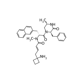 C[C@@H]1CN(C(=O)[C@@H](Cc2ccc3ccccc3c2)N(C)C(=O)C=CCC2(N)CCC2)[C@H](Cc2ccccc2)C(=O)N1